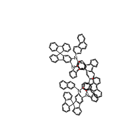 c1ccc2c(c1)-c1ccccc1C21c2ccccc2-c2cc(-n3c4ccccc4c4ccccc43)c(N(c3ccc4c(ccc5ccccc54)c3)c3ccc4c5cc(-c6ccc7c(c6)c6ccccc6n7-c6cc7c(cc6N(c6ccc8ccccc8c6)c6ccc8c9ccccc9c9ccccc9c8c6)C6(c8ccccc8-c8ccccc86)c6ccccc6-7)ccc5c5ccccc5c4c3)cc21